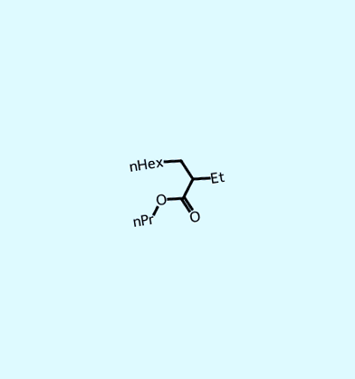 CCCCCCCC(CC)C(=O)OCCC